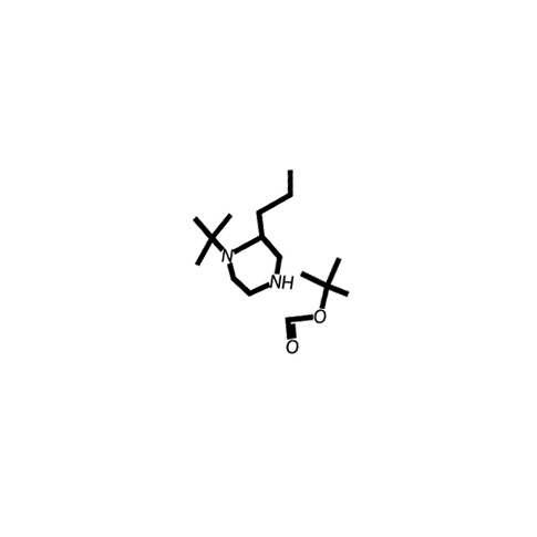 CC(C)(C)OC=O.CCCC1CNCCN1C(C)(C)C